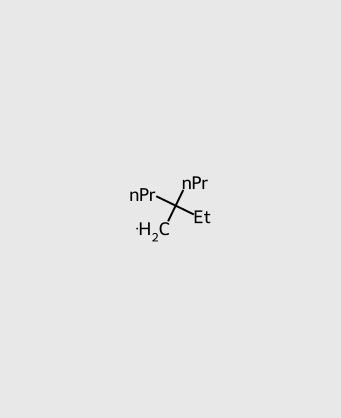 [CH2]C(CC)(CCC)CCC